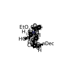 CCCCCCCCCCCCNS(=O)(=O)c1ccc(Cl)c(NS(=O)(=O)c2ccc(Cl)c(NC(=O)/C(=N\c3ccc(N(CC)CCO)cc3C)c3nc4ccccc4c(=O)n3CC(=O)OCC)c2)c1